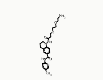 Cc1ccc(NC(=O)c2ccc3c(c2)CCCN3NC(=O)CCOCCOCCN)nc1